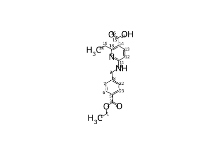 CCOC(=O)c1ccc(CNc2ccc(C(=O)O)c(CC)n2)cc1